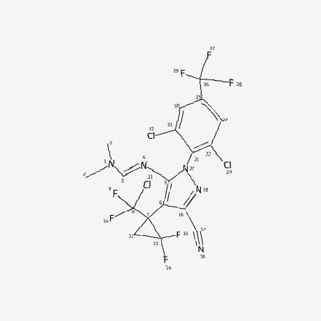 CN(C)C=Nc1c(C2(C(F)(F)Cl)CC2(F)F)c(C#N)nn1-c1c(Cl)cc(C(F)(F)F)cc1Cl